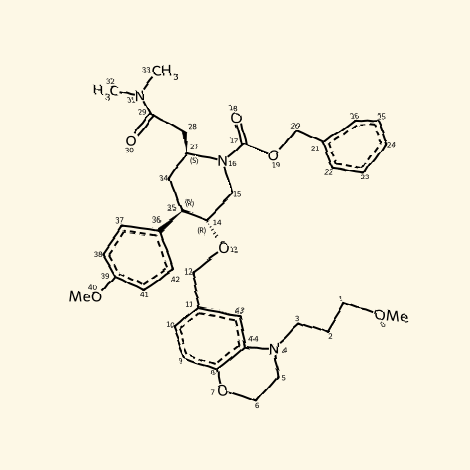 COCCCN1CCOc2ccc(CO[C@H]3CN(C(=O)OCc4ccccc4)[C@H](CC(=O)N(C)C)C[C@@H]3c3ccc(OC)cc3)cc21